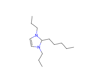 CCCCCC1N(CCC)C=CN1CCC